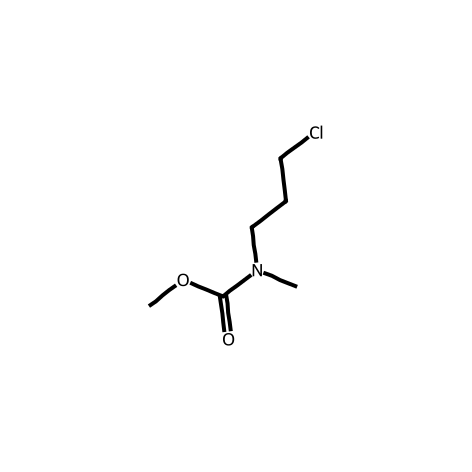 COC(=O)N(C)CCCCl